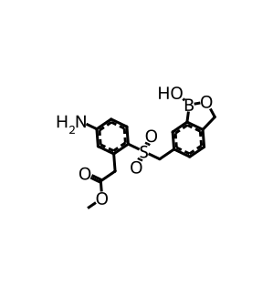 COC(=O)Cc1cc(N)ccc1S(=O)(=O)Cc1ccc2c(c1)B(O)OC2